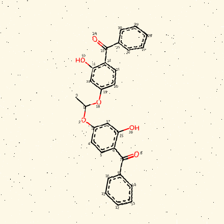 CC(Oc1ccc(C(=O)c2ccccc2)c(O)c1)Oc1ccc(C(=O)c2ccccc2)c(O)c1